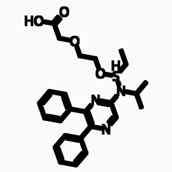 CC[SH](OCCOCC(=O)O)N(c1cnc(-c2ccccc2)c(-c2ccccc2)n1)C(C)C